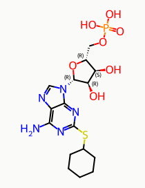 Nc1nc(SC2CCCCC2)nc2c1ncn2[C@@H]1O[C@H](COP(=O)(O)O)[C@@H](O)[C@H]1O